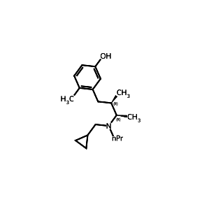 CCCN(CC1CC1)[C@H](C)[C@H](C)Cc1cc(O)ccc1C